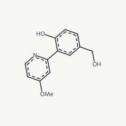 COc1ccnc(-c2cc(CO)ccc2O)c1